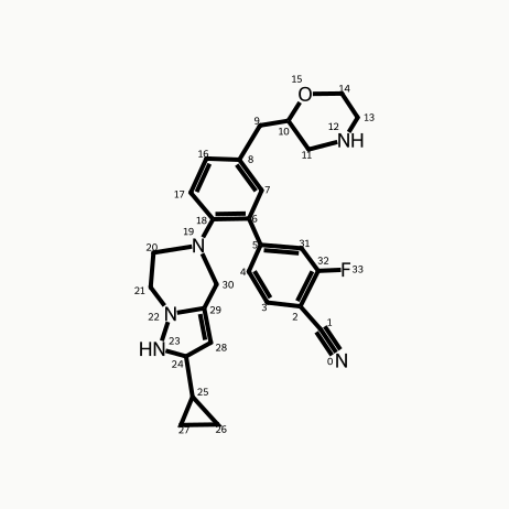 N#Cc1ccc(-c2cc(CC3CNCCO3)ccc2N2CCN3NC(C4CC4)C=C3C2)cc1F